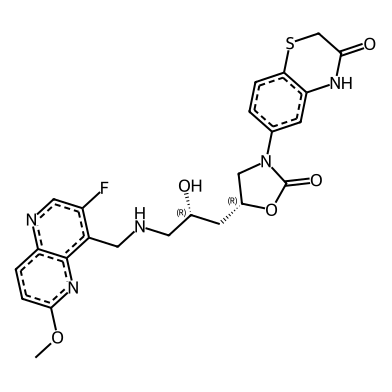 COc1ccc2ncc(F)c(CNC[C@H](O)C[C@@H]3CN(c4ccc5c(c4)NC(=O)CS5)C(=O)O3)c2n1